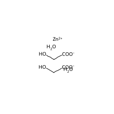 O.O.O=C([O-])CO.O=C([O-])CO.[Zn+2]